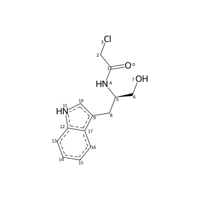 O=C(CCl)N[C@@H](CO)Cc1c[nH]c2ccccc12